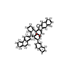 c1cc(-c2ccc3ccccc3c2)cc(N(c2ccc3c(ccc4ccccc43)c2)c2ccccc2-c2cccc3c2oc2cc4ccccc4cc23)c1